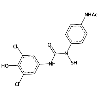 CC(=O)Nc1ccc(N(S)C(=O)Nc2cc(Cl)c(O)c(Cl)c2)cc1